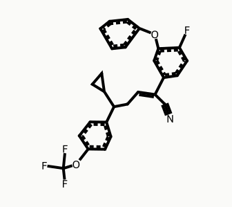 N#C/C(=C\CC(c1ccc(OC(F)(F)F)cc1)C1CC1)c1ccc(F)c(Oc2ccccc2)c1